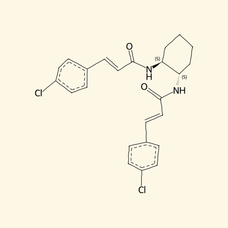 O=C(C=Cc1ccc(Cl)cc1)N[C@H]1CCCC[C@@H]1NC(=O)C=Cc1ccc(Cl)cc1